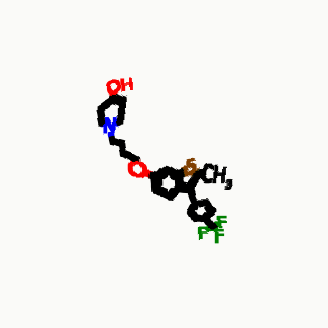 Cc1sc2cc(OCCCCN3CCC(O)CC3)ccc2c1-c1ccc(C(F)(F)F)cc1